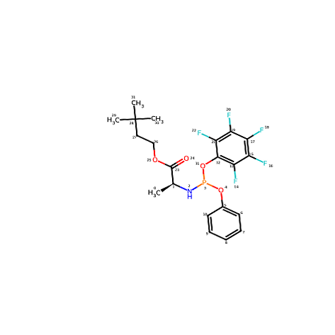 C[C@H](NP(Oc1ccccc1)Oc1c(F)c(F)c(F)c(F)c1F)C(=O)OCCC(C)(C)C